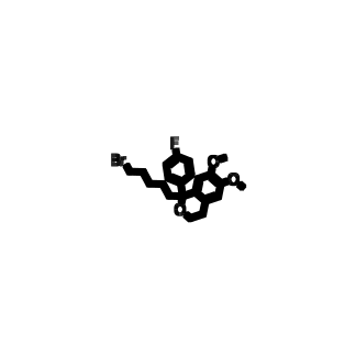 COc1cc2c(cc1OC)C(CCCCCBr)(c1ccc(F)cc1)OCC2